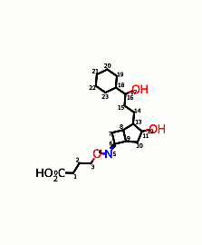 O=C(O)CCCON=C1CC2C1CC(O)C2CCC(O)C1CCCCC1